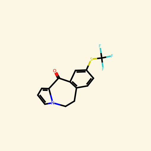 O=C1c2cc(SC(F)(F)F)ccc2CCn2cccc21